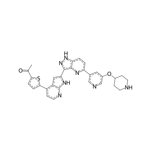 CC(=O)c1ccc(-c2ccnc3[nH]c(-c4n[nH]c5ccc(-c6cncc(OC7CCNCC7)c6)nc45)cc23)s1